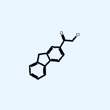 O=C(CCl)c1ccc2c(c1)Cc1ccccc1-2